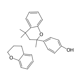 CC1(C)CC(C)(c2ccc(O)cc2)Oc2ccccc21.c1ccc2c(c1)CCCO2